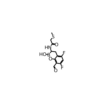 CSCC(=O)NC1Cc2c(F)cc(F)c(C=O)c2OB1O